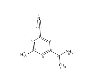 Cc1cc(C#N)cc(C(C)N)c1